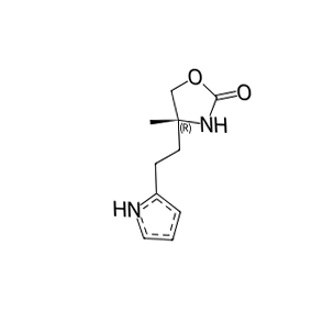 C[C@@]1(CCc2ccc[nH]2)COC(=O)N1